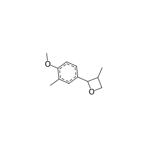 COc1ccc(C2OCC2C)cc1C